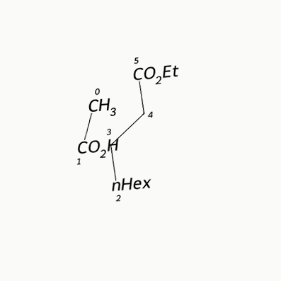 CC(=O)O.CCCCCCCCC(=O)OCC